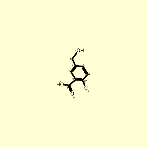 O=C(O)c1cc(CO)ccc1Cl